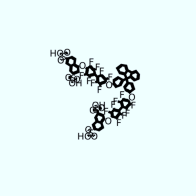 O=S(=O)(O)c1ccc2c(Oc3c(F)c(F)c(-c4c(F)c(F)c(Oc5ccc(C6(c7ccc(Oc8c(F)c(F)c(-c9c(F)c(F)c(Oc%10cc(S(=O)(=O)O)cc%11cc(S(=O)(=O)O)ccc%10%11)c(F)c9F)c(F)c8F)cc7)c7ccccc7-c7ccccc76)cc5)c(F)c4F)c(F)c3F)cc(S(=O)(=O)O)cc2c1